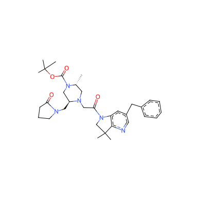 C[C@@H]1CN(CC(=O)N2CC(C)(C)c3ncc(Cc4ccccc4)cc32)[C@@H](CN2CCCC2=O)CN1C(=O)OC(C)(C)C